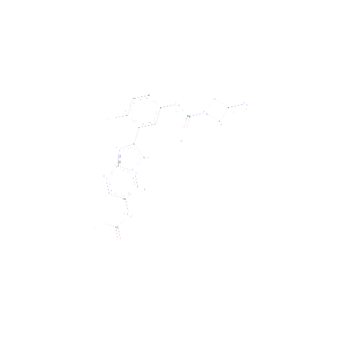 CC(C)OC(=O)Nc1cnc2nc(-c3cc(NC(=O)N4CC(N)C4)ccc3F)cn2c1